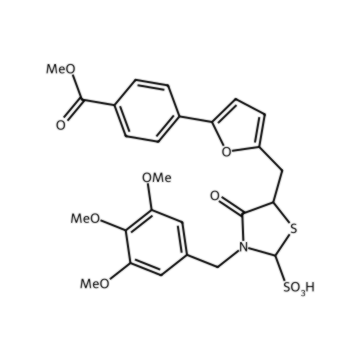 COC(=O)c1ccc(-c2ccc(CC3SC(S(=O)(=O)O)N(Cc4cc(OC)c(OC)c(OC)c4)C3=O)o2)cc1